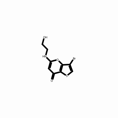 O=c1cc(NCCO)oc2c(Br)csc12